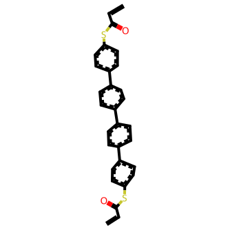 C=CC(=O)Sc1ccc(-c2ccc(-c3ccc(-c4ccc(SC(=O)C=C)cc4)cc3)cc2)cc1